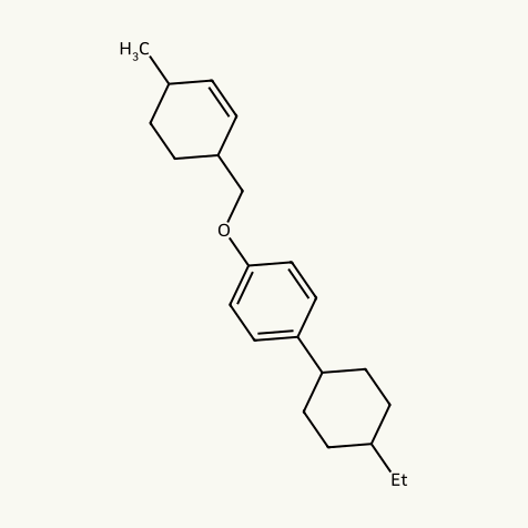 CCC1CCC(c2ccc(OCC3C=CC(C)CC3)cc2)CC1